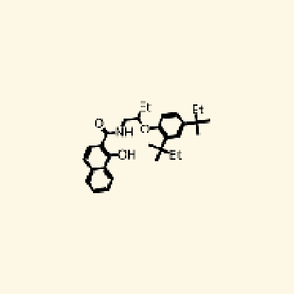 CCC(CNC(=O)c1ccc2ccccc2c1O)Oc1ccc(C(C)(C)CC)cc1C(C)(C)CC